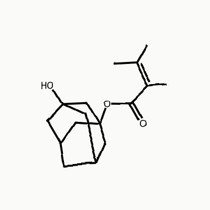 CC(C)=C(C)C(=O)OC12CC3CC(CC(O)(C3)C1)C2